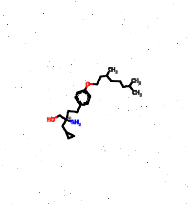 CC(C)CCCC(C)CCOc1ccc(CC[C@@](N)(CO)CC2CC2)cc1